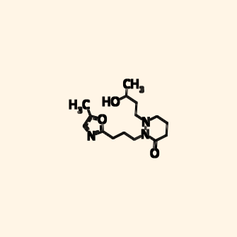 Cc1cnc(CCCN2C(=O)CCCN2CCC(C)O)o1